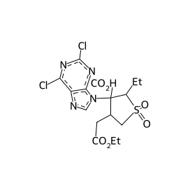 CCOC(=O)CC1CS(=O)(=O)C(CC)C1(C(=O)O)n1cnc2c(Cl)nc(Cl)nc21